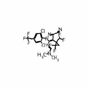 CN(C)C=Nc1c(C2(C(F)F)CC2(F)F)c(C#N)nn1-c1c(Cl)cc(C(F)(F)F)cc1Cl